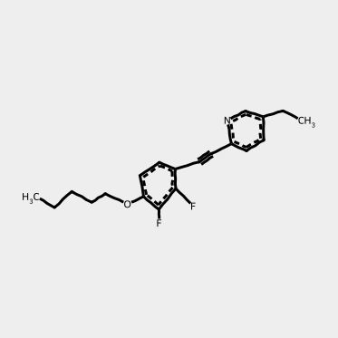 CCCCCOc1ccc(C#Cc2ccc(CC)cn2)c(F)c1F